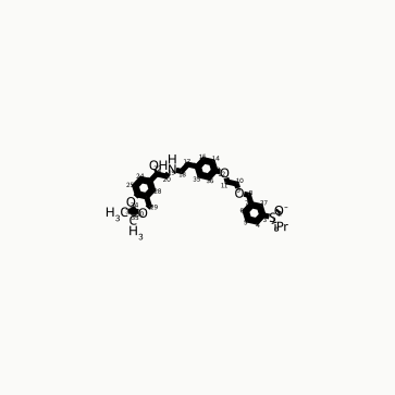 CC(C)[S+]([O-])c1cccc(COCCOc2ccc(CCNC[C@H](O)c3ccc4c(c3)COC(C)(C)O4)cc2)c1